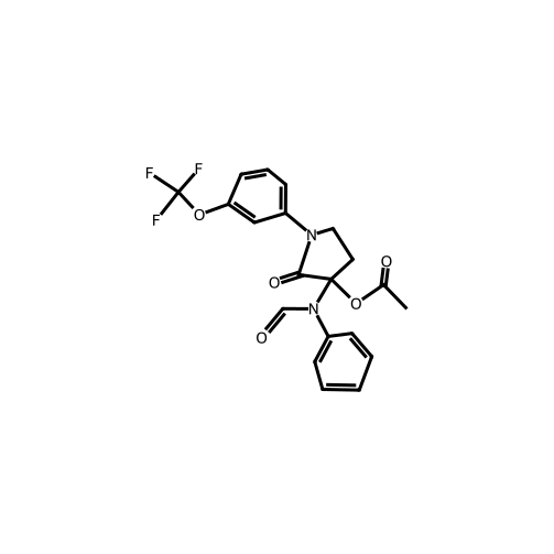 CC(=O)OC1(N(C=O)c2ccccc2)CCN(c2cccc(OC(F)(F)F)c2)C1=O